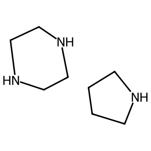 C1CCNC1.C1CNCCN1